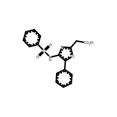 CCOC(=O)Cc1nc(NS(=O)(=O)c2ccccc2)c(-c2ccccc2)o1